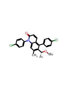 CC(=O)[C@@H](OC(C)(C)C)c1c(C)cc2c(ccc(=O)n2-c2ccc(Cl)cc2)c1-c1ccc(Cl)cc1